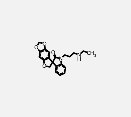 CCNCCCN1C(=O)C2(COc3cc4c(cc32)OCO4)c2ccccc21